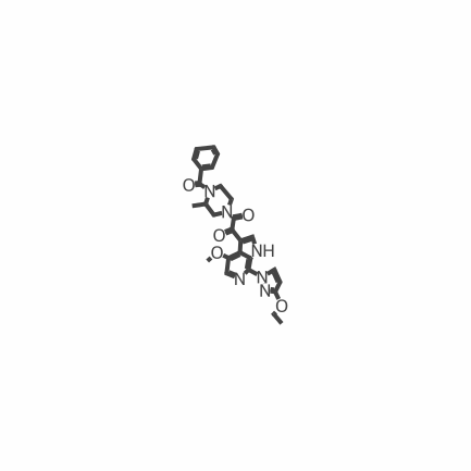 CCOc1ccn(-c2ncc(OC)c3c(C(=O)C(=O)N4CCN(C(=O)c5ccccc5)C(C)C4)c[nH]c23)n1